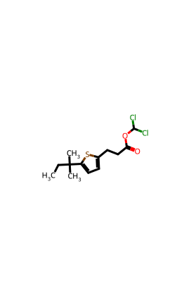 CCC(C)(C)c1ccc(CCC(=O)OC(Cl)Cl)s1